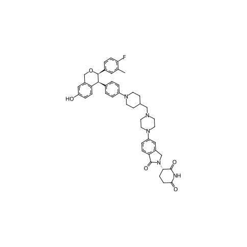 Cc1cc([C@@H]2OCc3cc(O)ccc3[C@@H]2c2ccc(N3CCC(CN4CCN(c5ccc6c(c5)CN([C@H]5CCC(=O)NC5=O)C6=O)CC4)CC3)cc2)ccc1F